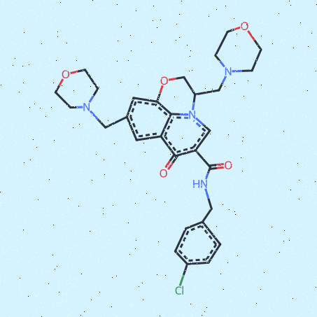 O=C(NCc1ccc(Cl)cc1)c1cn2c3c(cc(CN4CCOCC4)cc3c1=O)OCC2CN1CCOCC1